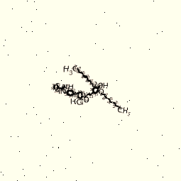 CCCCCCCCCOc1cc(C=CC(=O)N2CCN(c3ccc(NC(=N)c4cccs4)cc3)CC2)cc(OCCCCCCCCC)c1O.Cl